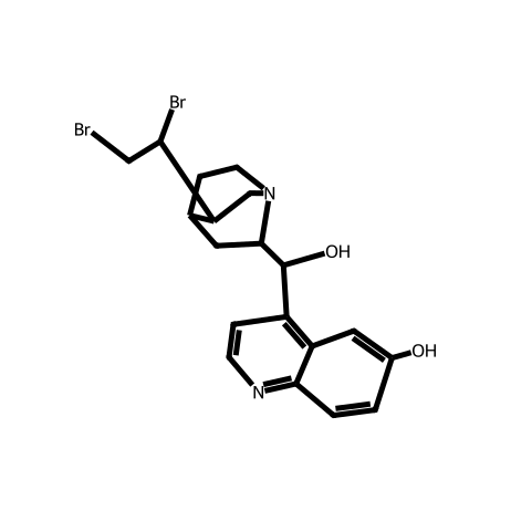 Oc1ccc2nccc(C(O)C3CC4CCN3CC4C(Br)CBr)c2c1